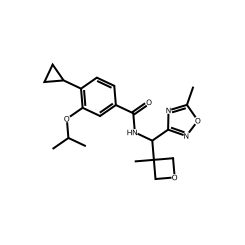 Cc1nc(C(NC(=O)c2ccc(C3CC3)c(OC(C)C)c2)C2(C)COC2)no1